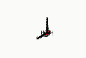 CCCCCCCCCCCCCCCCCC(=O)C(O)([C@H](CO)OC(=O)CCCCCCCCCCC)P(=O)(O)O